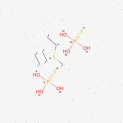 CC.CC.CCSC.OP(O)(O)=S.OP(O)(O)=S